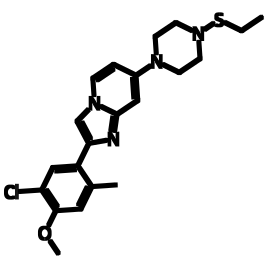 CCSN1CCN(c2ccn3cc(-c4cc(Cl)c(OC)cc4C)nc3c2)CC1